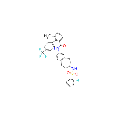 Cc1cccc(C(=O)Nc2ccc3c(c2)CCC(NS(=O)(=O)c2ccccc2F)CC3)c1-c1ccc(C(F)(F)F)cc1